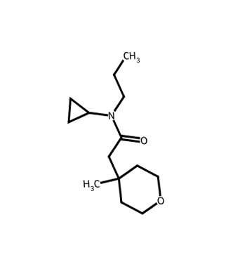 CCCN(C(=O)CC1(C)CCOCC1)C1CC1